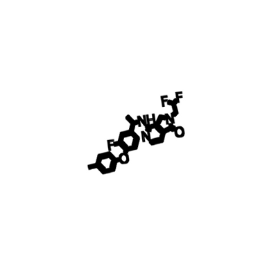 Cc1ccc(Oc2ccc(C(C)Nc3nccc4c3CN(CC(F)F)C4=O)cc2F)cc1